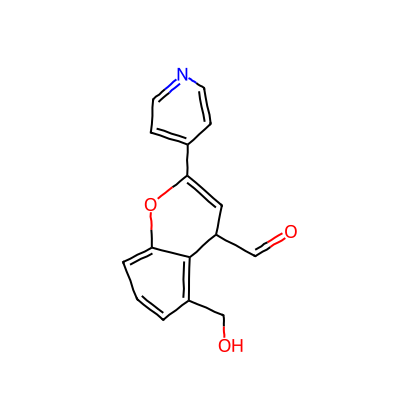 O=CC1C=C(c2ccncc2)Oc2cccc(CO)c21